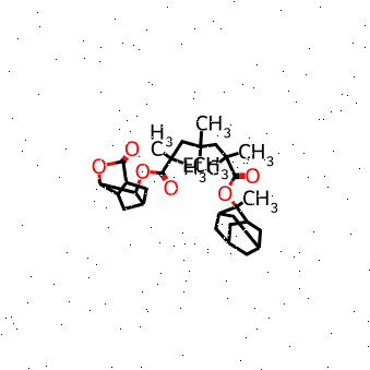 CCC(C)(CC(C)(C)CC(C)(C)C(=O)OC1(C)C2CC3CC(C2)CC1C3)C(=O)OC1C2CC3C(=O)OC1C3C2